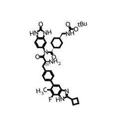 Cc1c(-c2ccc(C[C@H](N)C(=O)N(c3ccc4[nH]c(=O)[nH]c4c3)C(=O)[C@H]3CC[C@H](CNC(=O)OC(C)(C)C)CC3)cc2)cc2nc(C3CCC3)[nH]c2c1F